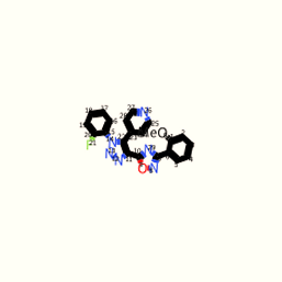 COc1ccccc1-c1noc(-c2nnn(-c3ccccc3F)c2-c2ccncc2)n1